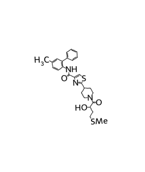 CSCCC(O)C(=O)N1CCC(c2nc(C(=O)Nc3ccc(C)cc3-c3ccccc3)cs2)CC1